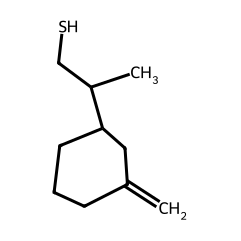 C=C1CCCC(C(C)CS)C1